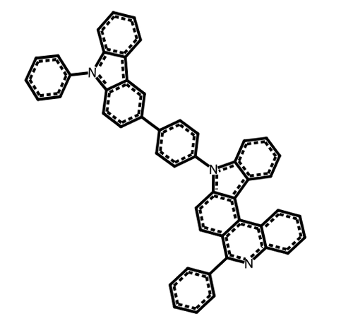 c1ccc(-c2nc3ccccc3c3c2ccc2c3c3ccccc3n2-c2ccc(-c3ccc4c(c3)c3ccccc3n4-c3ccccc3)cc2)cc1